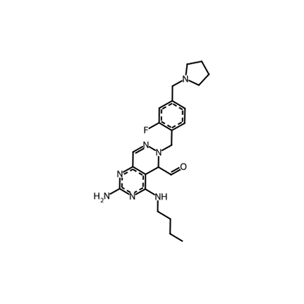 CCCCNc1nc(N)nc2c1C(C=O)N(Cc1ccc(CN3CCCC3)cc1F)N=C2